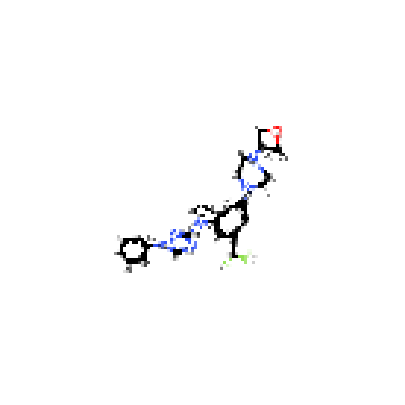 CN(c1cc(C(F)F)cc(N2CCN(C3COC3)CC2)c1)c1ncn(-c2ccccc2)n1